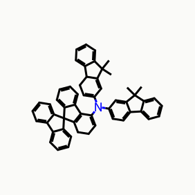 CC1(C)C2=CC(N(C3=CCCC4=C3c3ccccc3C43c4ccccc4-c4ccccc43)c3ccc4c(c3)C(C)(C)c3ccccc3-4)=CCC2c2ccccc21